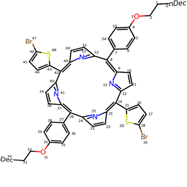 CCCCCCCCCCCCOc1ccc(C2=C3C=CC(=N3)C(c3ccc(Br)s3)=C3C=CC(=N3)C(c3ccc(OCCCCCCCCCCCC)cc3)=C3C=CC(=N3)C(c3ccc(Br)s3)=C3C=CC2=N3)cc1